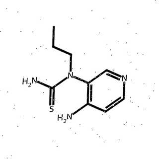 CCCN(C(N)=S)c1cnccc1N